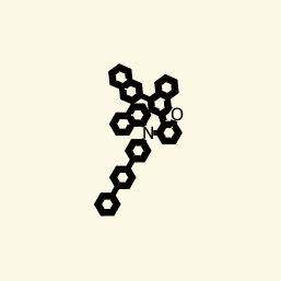 c1ccc(-c2ccc(-c3ccc(N(c4cccc5ccccc45)c4cccc5oc6c7ccccc7c(-c7ccc8ccccc8c7)cc6c45)cc3)cc2)cc1